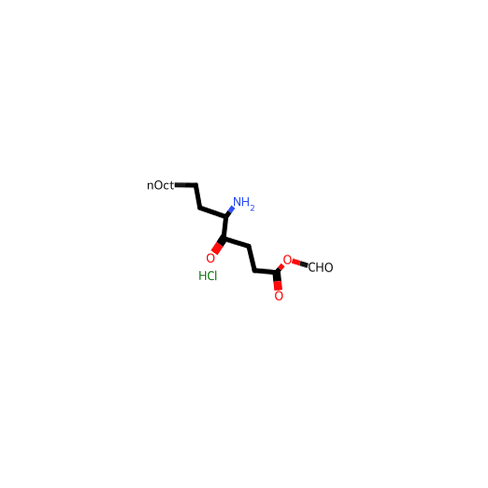 CCCCCCCCCCC(N)C(=O)CCC(=O)OC=O.Cl